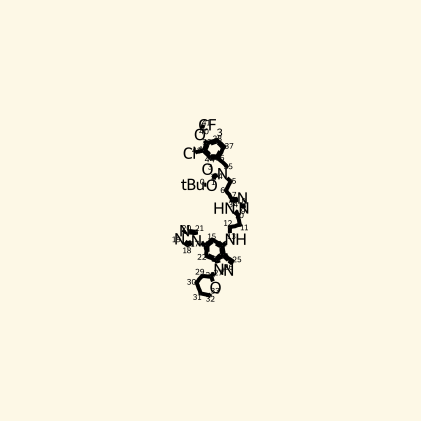 CC(C)(C)OC(=O)N(CCc1nnc(CCNc2cc(-n3cnnc3)cc3c2cnn3C2CCCCO2)[nH]1)Cc1ccc(OC(F)(F)F)c(Cl)c1